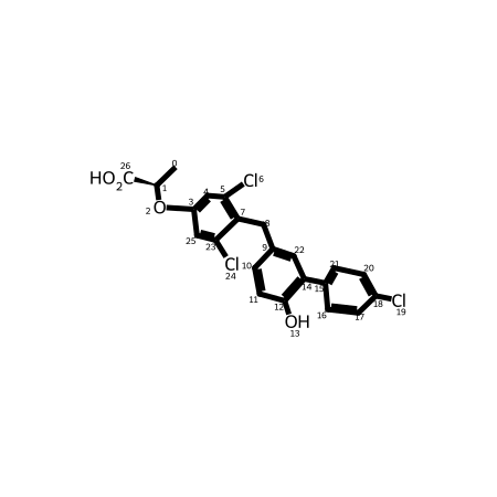 C[C@@H](Oc1cc(Cl)c(Cc2ccc(O)c(-c3ccc(Cl)cc3)c2)c(Cl)c1)C(=O)O